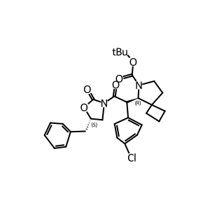 CC(C)(C)OC(=O)N1CCC2(CCC2)[C@H]1C(C(=O)N1C[C@H](Cc2ccccc2)OC1=O)c1ccc(Cl)cc1